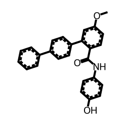 COc1ccc(C(=O)Nc2ccc(O)cc2)c(-c2ccc(-c3ccccc3)cc2)c1